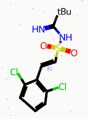 CC(C)(C)C(=N)NS(=O)(=O)/C=C/c1c(Cl)cccc1Cl